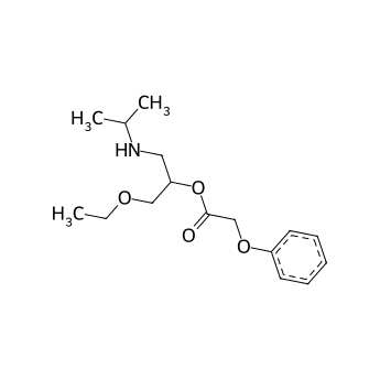 CCOCC(CNC(C)C)OC(=O)COc1ccccc1